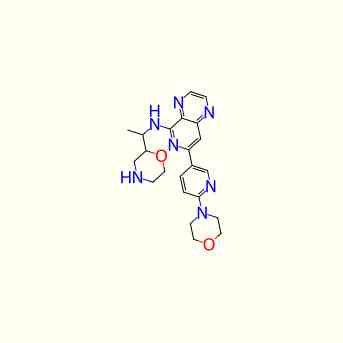 CC(Nc1nc(-c2ccc(N3CCOCC3)nc2)cc2nccnc12)C1CNCCO1